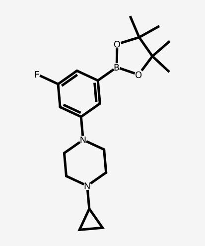 CC1(C)OB(c2cc(F)cc(N3CCN(C4CC4)CC3)c2)OC1(C)C